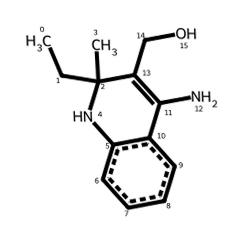 CCC1(C)Nc2ccccc2C(N)=C1CO